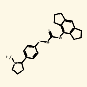 CN1CCCC1c1ccc(SNC(=O)Nc2c3c(cc4c2CCC4)CCC3)cc1